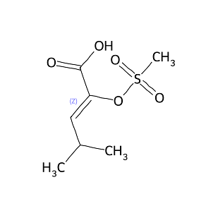 CC(C)/C=C(\OS(C)(=O)=O)C(=O)O